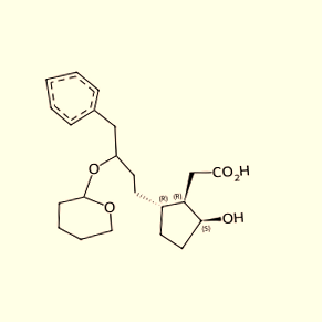 O=C(O)C[C@@H]1[C@@H](CCC(Cc2ccccc2)OC2CCCCO2)CC[C@@H]1O